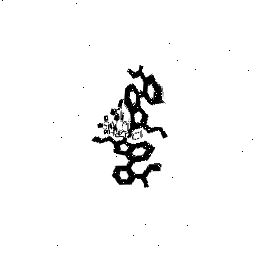 CCCC1=Cc2c(-c3ccccc3C(C)CC)cccc2[CH]1[Zr]([Cl])([Cl])([BH]N([Si](C)(C)C)[Si](C)(C)C)[CH]1C(CCC)=Cc2c(-c3ccccc3C(C)CC)cccc21